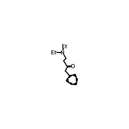 CCN(CC)CCC(=O)Cc1ccccc1